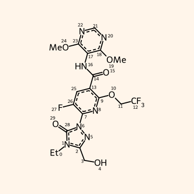 CCn1c(CO)nn(-c2nc(OCC(F)(F)F)c(C(=O)Nc3c(OC)ncnc3OC)cc2F)c1=O